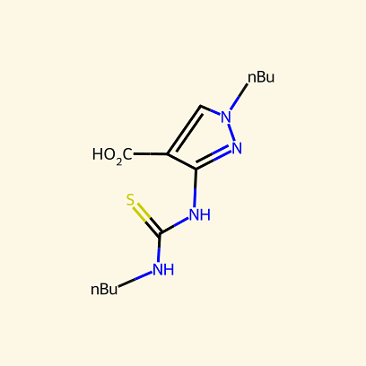 CCCCNC(=S)Nc1nn(CCCC)cc1C(=O)O